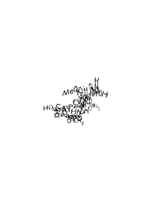 CCCCC[C@H](NC(=O)[C@@H]1CCCN1C(=O)CNC(=O)[C@H](C)NC(=O)[C@H](CC(C)C)NC(=O)CNC(=O)[C@H](CC(=O)OC)NC(=O)[C@H](CCC(N)=O)NC(=O)CNC(=O)[C@@H]1C[C@@H](O)CN1)C(=O)O